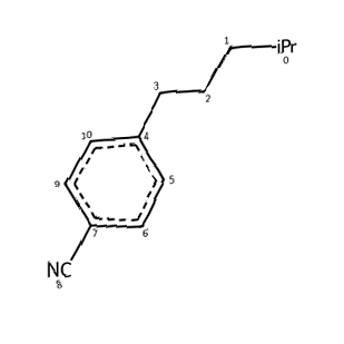 CC(C)CCCc1ccc(C#N)cc1